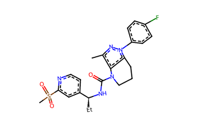 CC[C@H](NC(=O)N1CCCc2c1c(C)nn2-c1ccc(F)cc1)c1ccnc(S(C)(=O)=O)c1